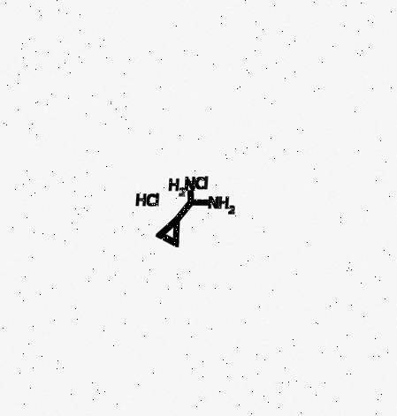 Cl.Cl.NC(N)C1CC1